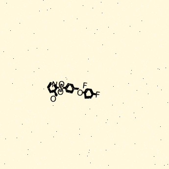 O=Cc1cccnc1S(=O)(=O)c1ccc(COc2ccc(F)cc2F)cc1